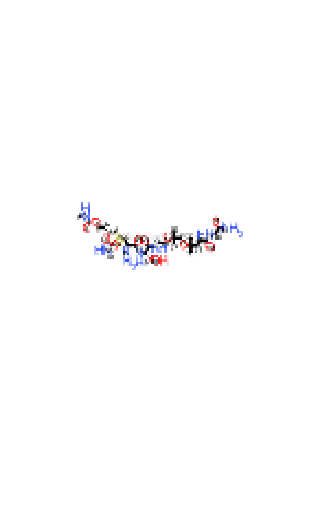 CNC(=O)OCC[C@H](CSC[C@H](N)C(=O)N[C@@H](CO)C(=O)NCCOC(C)(C)COC(C)(C)CCC(=O)NCC(N)=O)OC(=O)NC